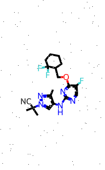 Cc1nn(C(C)(C)C#N)cc1Nc1ncc(F)c(OCC2CCCCC2(F)F)n1